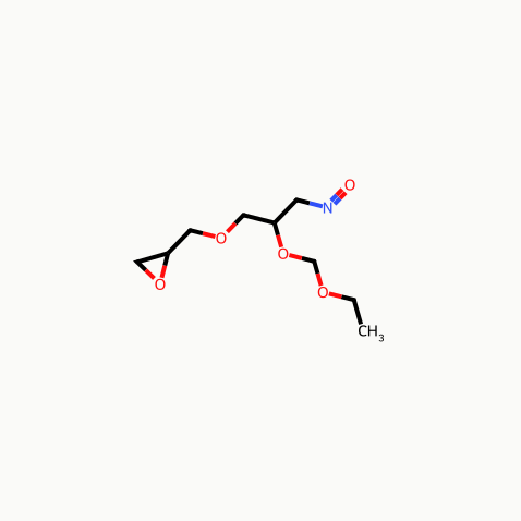 CCOCOC(CN=O)COCC1CO1